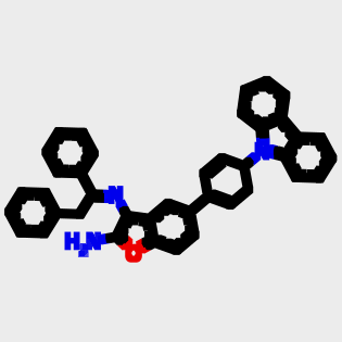 Nc1oc2ccc(C3=CCC(n4c5ccccc5c5ccccc54)C=C3)cc2c1/N=C(\Cc1ccccc1)c1ccccc1